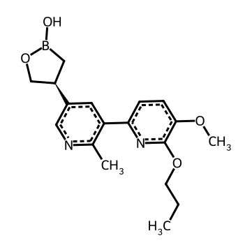 CCCOc1nc(-c2cc([C@H]3COB(O)C3)cnc2C)ccc1OC